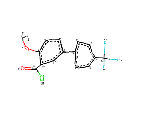 COc1ccc(-c2ccc(C(F)(F)F)cc2)cc1C(=O)Cl